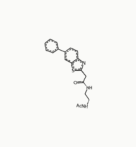 CC(=O)NCCNC(=O)Cc1nc2ccc(-c3ccccc3)cc2s1